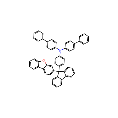 c1ccc(-c2ccc(N(c3ccc(-c4ccccc4)cc3)c3ccc(C4(c5ccc6c(c5)oc5ccccc56)c5ccccc5-c5ccccc54)cc3)cc2)cc1